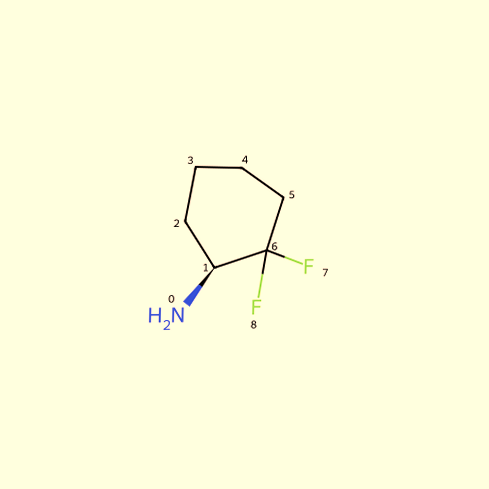 N[C@H]1CCCCC1(F)F